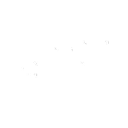 O=C(Nc1cc2cc(-c3cncc(NC4CCNCC4)n3)ncc2cn1)C1CCC1